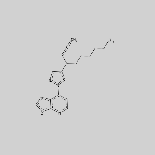 C=C=CC(CCCCCC)c1cnn(-c2ccnc3[nH]ccc23)c1